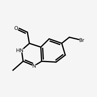 CC1=Nc2ccc(CBr)cc2C(C=O)N1